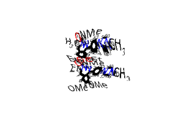 CCC1Cc2cc(OC)c(OC)cc2C(c2ccc(N3CCN(C)CC3)cc2)=NN1C(=O)NC.CCOc1cc2c(cc1OCC)C(c1ccc(N3CCN(C)CC3)cc1)=NN(C(=O)NC)C(C)C2